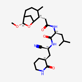 CO[C@H]1OC2CC1CCC(C)[C@@H]2CC(=O)N[C@@H](CC(C)C)C(=O)N[C@H](C#N)C[C@@H]1CCCNC1=O